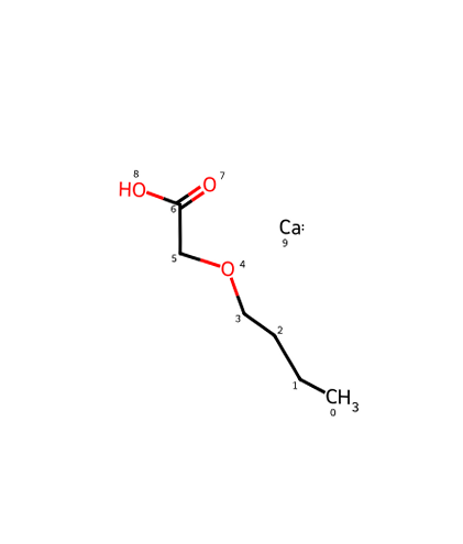 CCCCOCC(=O)O.[Ca]